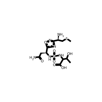 CSC[C@H](N)c1noc([C@H](CC(N)=O)NS(=O)(=O)NC(C(=O)O)C(C)O)n1